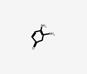 NC1=C(N)CC(=O)C=C1